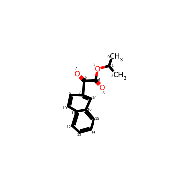 CC(C)OC(=O)C(=O)c1ccc2ccccc2c1